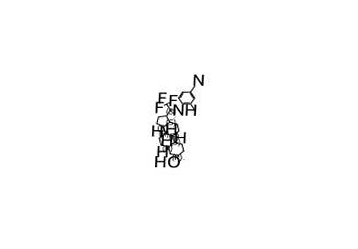 Cc1cc(C#N)ccc1N[C@@H](C1CC[C@H]2[C@@H]3CC[C@@H]4C[C@](C)(O)CC[C@@H]4[C@H]3CC[C@]12C)C(F)(F)F